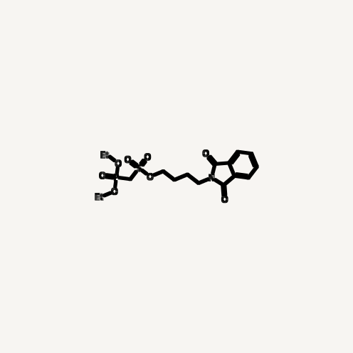 CCOP(=O)(CS(=O)(=O)OCCCCN1C(=O)c2ccccc2C1=O)OCC